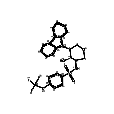 O=S(=O)(N[C@@H]1COC[C@H](n2c3ccccc3c3ccccc32)[C@H]1O)c1ccc(OC(F)(F)F)cc1